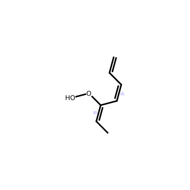 C=C/C=C\C(=C/C)OO